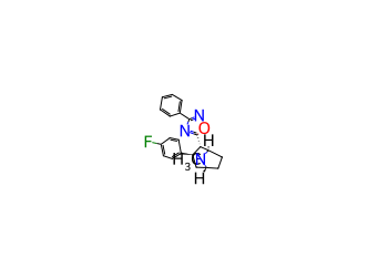 CN1[C@@H]2CC[C@@H]1[C@@H](c1nc(-c3ccccc3)no1)[C@H](c1ccc(F)cc1)C2